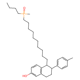 CCCCP(C)(=O)CCCCCCCCCCC1c2ccc(O)cc2CCC1c1ccc(C)cc1